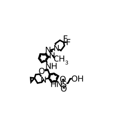 Cn1c(N2CCC(F)(F)CC2)nc2cccc(NC(=O)c3ccc(NS(=O)(=O)CCO)cc3N3CCC4(CC3)CC4)c21